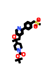 CC(C)(C)OC(=O)N1CCC(C2(C)Cc3cc(-c4ccc(CS(C)(=O)=O)cc4)ncc3O2)CC1